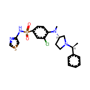 C[C@@H](c1ccccc1)N1CC[C@H](N(C)c2ccc(S(=O)(=O)Nc3cscn3)cc2Cl)C1